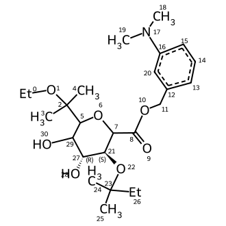 CCOC(C)(C)C1OC(C(=O)OCc2cccc(N(C)C)c2)[C@@H](OC(C)(C)CC)[C@H](O)C1O